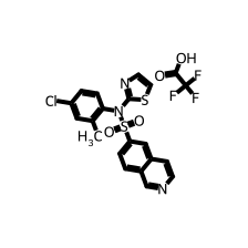 Cc1cc(Cl)ccc1N(c1nccs1)S(=O)(=O)c1ccc2cnccc2c1.O=C(O)C(F)(F)F